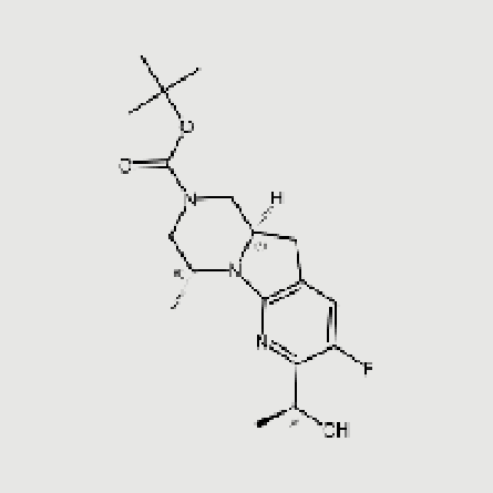 C[C@H](O)c1nc2c(cc1F)C[C@@H]1CN(C(=O)OC(C)(C)C)C[C@@H](C)N21